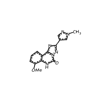 COc1cccc2c1[nH]c(=O)n1nc(-c3cnn(C)c3)nc21